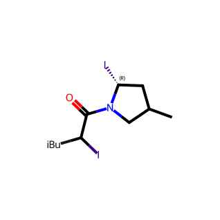 CCC(C)C(I)C(=O)N1CC(C)C[C@H]1I